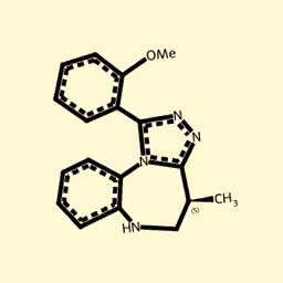 COc1ccccc1-c1nnc2n1-c1ccccc1NC[C@@H]2C